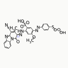 COc1cc(N/N=C2/C(=O)n3c(nc4ccccc43)C(C#N)=C2C)c(S(=O)(=O)O)cc1N=Nc1ccc(SOOO)cc1